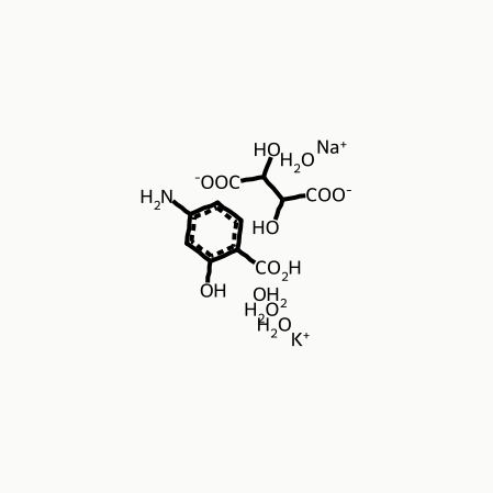 Nc1ccc(C(=O)O)c(O)c1.O.O.O.O.O=C([O-])C(O)C(O)C(=O)[O-].[K+].[Na+]